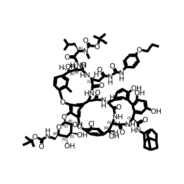 CCCOc1ccc(NC(=O)NC(=O)C[C@@H]2NC(=O)[C@H](NC(=O)[C@@H](CC(C)C)N(C)C(=O)OC(C)(C)C)[C@H](O)c3ccc(c(C)c3)Oc3cc4cc(c3O[C@@H]3O[C@H](CNC(=O)OC(C)(C)C)[C@@H](O)[C@H](O)[C@H]3O)Oc3ccc(cc3Cl)[C@@H](O)[C@@H]3NC(=O)[C@H](NC(=O)C4NC2=O)c2ccc(O)c(c2)-c2c(O)cc(O)cc2[C@@H](C(=O)NC2C4CC5CC(C4)CC2C5)NC3=O)cc1